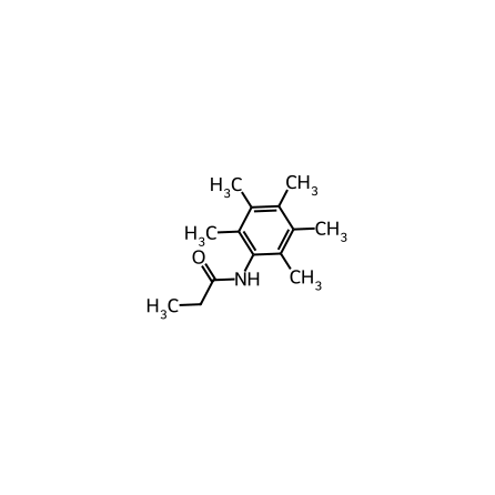 CCC(=O)Nc1c(C)c(C)c(C)c(C)c1C